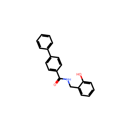 O=C(NCc1ccccc1O)c1ccc(-c2ccccc2)cc1